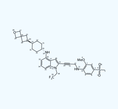 COc1cc(S(C)(=O)=O)ccc1NCC#Cc1cc2c(N[C@H]3CC[C@H](N4CC5(COC5)C4)CC3)cccc2n1CC(F)(F)F